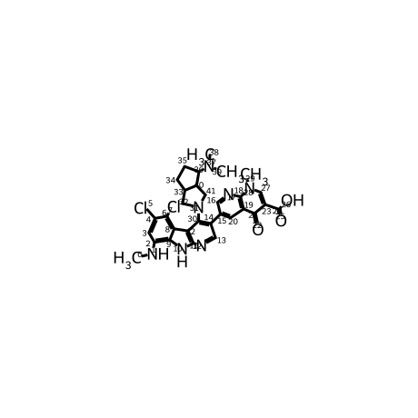 CNc1cc(Cl)c(Cl)c2c1[nH]c1ncc(-c3cnc4c(c3)c(=O)c(C(=O)O)cn4C)c(N3CC4CC[C@@H](N(C)C)C4C3)c12